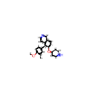 COc1ccc(-c2c(OC3CCNCC3)ccc3cnccc23)cc1C